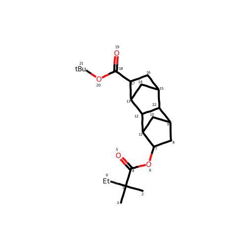 CCC(C)(C)C(=O)OC1CC2CC1C1C3CC(CC3C(=O)OC(C)(C)C)C21